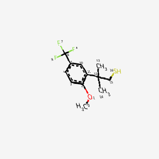 COc1ccc(C(F)(F)F)cc1C(C)(C)CS